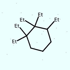 CC[C]1CCCC(CC)(CC)C1(CC)CC